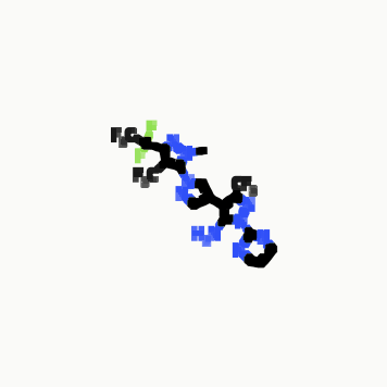 Cn1nc(C(F)(F)C(F)(F)F)c(C(F)(F)F)c1-n1cc(-c2c(C(F)(F)F)nn(-c3ncccn3)c2N)cn1